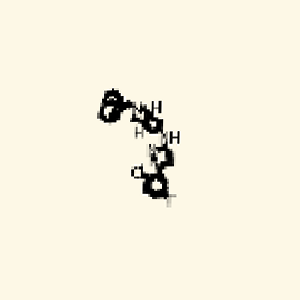 Fc1ccc(Cl)c(-c2ccc(NC3C[C@@H]4CN(CC56CC7CC(CC(C7)C5)C6)C[C@@H]4C3)nn2)c1